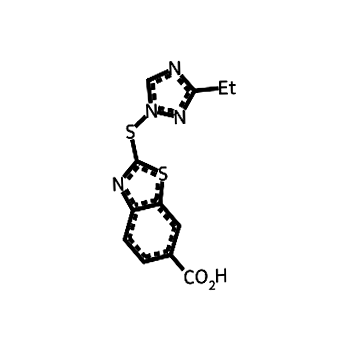 CCc1ncn(Sc2nc3ccc(C(=O)O)cc3s2)n1